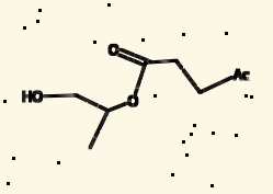 CC(=O)CCC(=O)OC(C)CO